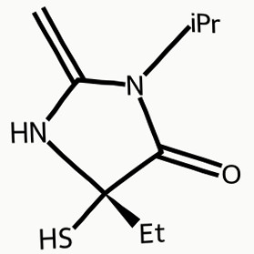 C=C1N[C@](S)(CC)C(=O)N1C(C)C